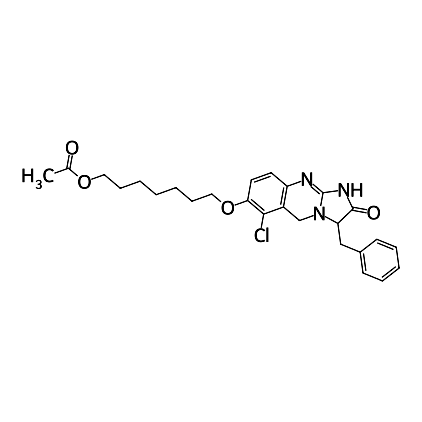 CC(=O)OCCCCCCCOc1ccc2c(c1Cl)CN1C(=N2)NC(=O)C1Cc1ccccc1